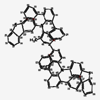 Cc1cc(-c2ccc(N(c3ccc4sc5ccccc5c4c3)c3c(-c4ccccc4)cccc3-c3ccccc3)c(C)c2)ccc1N(c1ccc2sc3ccccc3c2c1)c1c(-c2ccccc2)cccc1-c1ccccc1